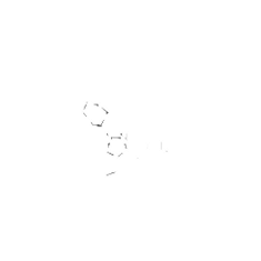 CC(C)c1nn(-c2ccc(F)cc2)c(Cl)c1C=O